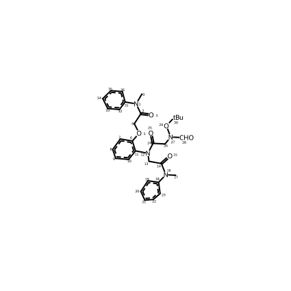 CN(C(=O)COc1ccccc1N(CC(=O)N(C)c1ccccc1)C(=O)CN(C=O)OC(C)(C)C)c1ccccc1